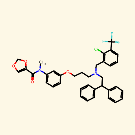 CN(C(=O)C1=COCO1)c1cccc(OCCCN(Cc2cccc(C(F)(F)F)c2Cl)CC(c2ccccc2)c2ccccc2)c1